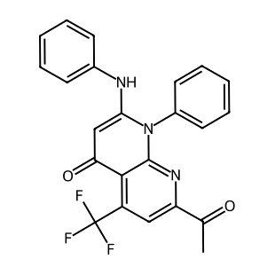 CC(=O)c1cc(C(F)(F)F)c2c(=O)cc(Nc3ccccc3)n(-c3ccccc3)c2n1